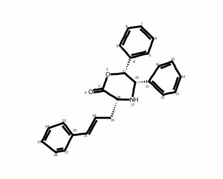 O=C1O[C@H](c2ccccc2)[C@H](c2ccccc2)N[C@@H]1CC=Cc1ccccc1